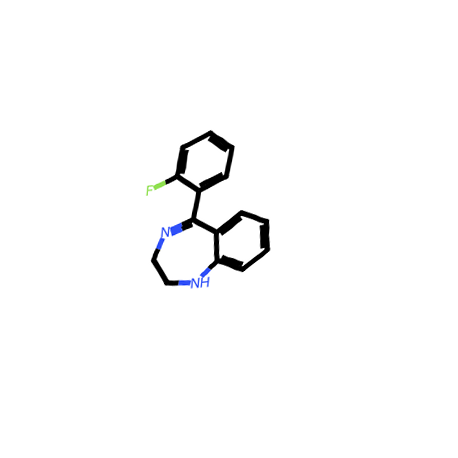 Fc1ccccc1C1=NCCNc2ccccc21